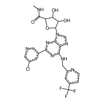 CNC(=O)C1OC(n2cnc3c(NCc4cc(C(F)(F)F)ccn4)nc(-c4cncc(Cl)c4)nc32)C(O)C1O